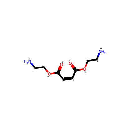 NCCOC(=O)/C=C\C(=O)OCCN